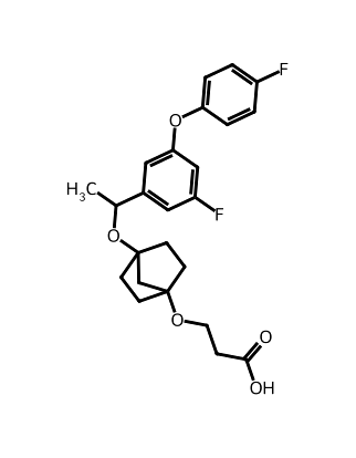 CC(OC12CCC(OCCC(=O)O)(CC1)C2)c1cc(F)cc(Oc2ccc(F)cc2)c1